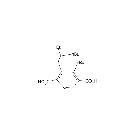 CCCCc1c(C(=O)O)ccc(C(=O)O)c1CC(CC)CCCC